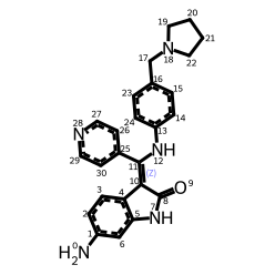 Nc1ccc2c(c1)NC(=O)/C2=C(\Nc1ccc(CN2CCCC2)cc1)c1ccncc1